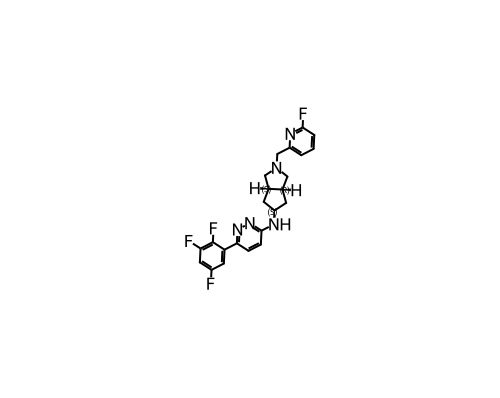 Fc1cc(F)c(F)c(-c2ccc(N[C@H]3C[C@@H]4CN(Cc5cccc(F)n5)C[C@@H]4C3)nn2)c1